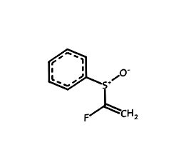 C=C(F)[S+]([O-])c1ccccc1